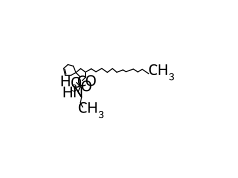 CCCCCCCCCCCCCC(CC1(COC(=O)NCCC)CC=CCC1)C(C)=O